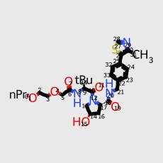 CCCOCCOCC(=O)N[C@H](C(=O)N1C[C@H](O)C[C@H]1C(=O)NCc1ccc(-c2scnc2C)cc1)C(C)(C)C